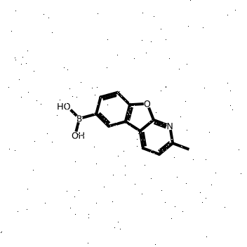 Cc1ccc2c(n1)oc1ccc(B(O)O)cc12